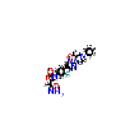 CC(=O)C1CN(c2ccccc2)CCN1c1ncc(-c2ccc(N3CC(C(C)C(N)=O)OC3=O)cc2F)cn1